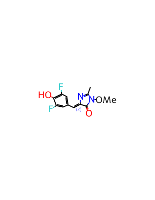 CON1C(=O)/C(=C/c2cc(F)c(O)c(F)c2)N=C1C